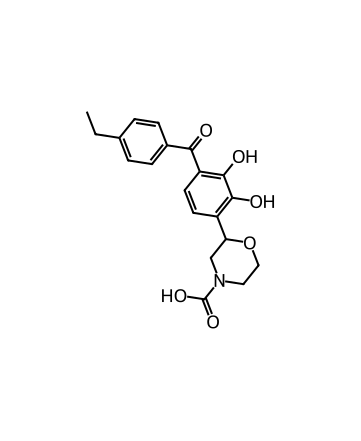 CCc1ccc(C(=O)c2ccc(C3CN(C(=O)O)CCO3)c(O)c2O)cc1